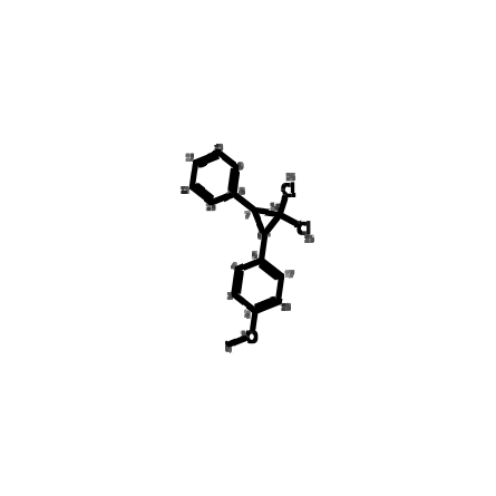 COc1ccc([C]2C(c3ccccc3)C2(Cl)Cl)cc1